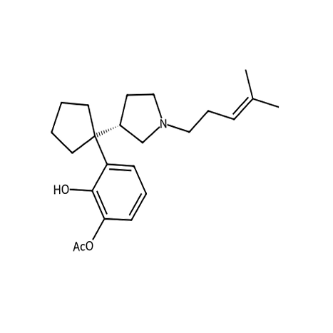 CC(=O)Oc1cccc(C2([C@@H]3CCN(CCC=C(C)C)C3)CCCC2)c1O